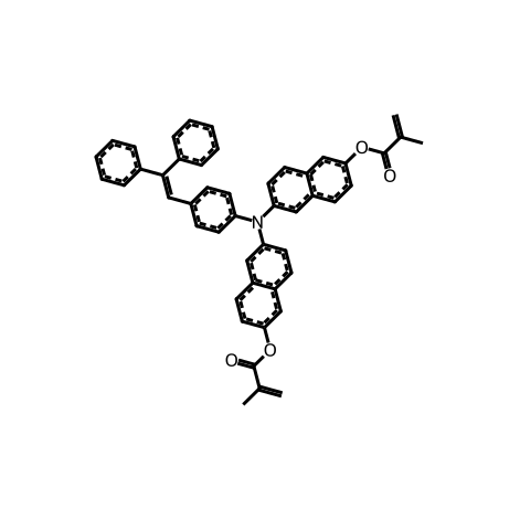 C=C(C)C(=O)Oc1ccc2cc(N(c3ccc(C=C(c4ccccc4)c4ccccc4)cc3)c3ccc4cc(OC(=O)C(=C)C)ccc4c3)ccc2c1